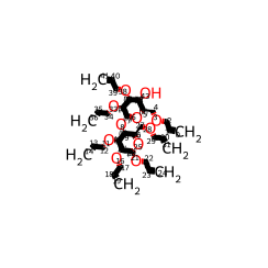 C=CCOC[C@H]1O[C@H](O[C@H]2[C@H](OCC=C)[C@@H](OCC=C)[C@H](OCC=C)O[C@@H]2COCC=C)[C@H](OCC=C)[C@@H](OCC=C)[C@@H]1O